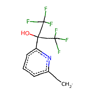 [CH2]c1cccc(C(O)(C(F)(F)F)C(F)(F)F)n1